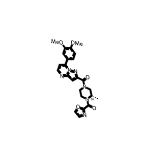 COc1ccc(-c2ccnc3cc(C(=O)N4CCN(C(=O)c5ncco5)[C@@H](C)C4)nn23)cc1OC